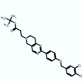 CC(C)(C)OC(=O)CCN1CCc2nc(-c3ccc(OCc4ccc(Cl)c(Cl)c4)cc3)ncc2C1